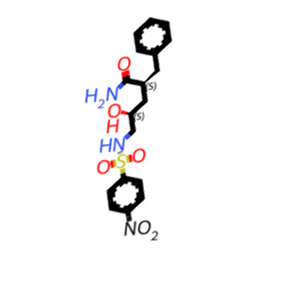 NC(=O)[C@@H](Cc1ccccc1)C[C@H](O)CNS(=O)(=O)c1ccc([N+](=O)[O-])cc1